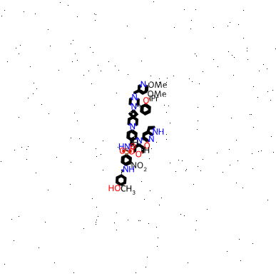 COc1cc(CN2CCN(C3CC4(CCN(c5ccc(C(=O)NS(=O)(=O)c6ccc(NC[C@H]7CC[C@](C)(O)CC7)c([N+](=O)[O-])c6)c(N6c7cc8cc[nH]c8nc7O[C@H]7COCC[C@@H]76)c5)CC4)C3)[C@@H](c3ccccc3OC(C)C)C2)cnc1OC